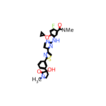 CNC(=O)c1cc(Nc2nccc(-c3csc(-c4cccc([C@]5(O)CCN(C)C5=O)c4)n3)n2)c(OC2CC2)cc1F